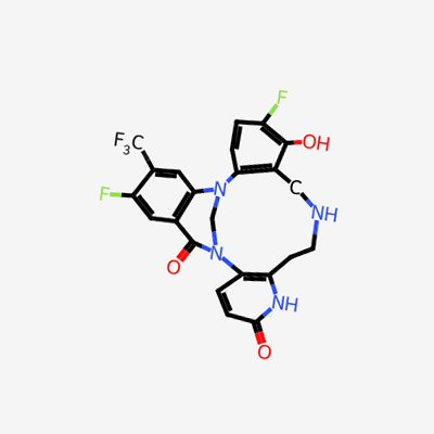 O=C1c2cc(F)c(C(F)(F)F)cc2N2CN1c1ccc(=O)[nH]c1CCNCc1c2ccc(F)c1O